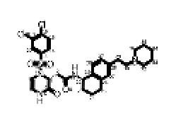 O=C(C[C@@H]1C(=O)NC=CN1S(=O)(=O)c1ccc(Cl)c(Cl)c1)N[C@@H]1CCCc2cc(CCN3CCCCC3)ccc21